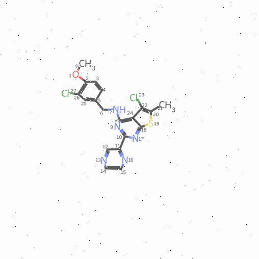 COc1ccc(CNc2nc(-c3cnccn3)nc3sc(C)c(Cl)c23)cc1Cl